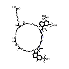 CCC1(C)\C2=C/C=C/C=C/C=C/C3N(CCCCCC(=O)NCC(=O)NCCCCC(C(=O)NCCCCCC(=O)O)NC(=O)CCCCCN2c2ccc4c(S(=O)(=O)O)cc(S(=O)(=O)O)cc4c21)c1ccc2c(C)cc(S(=O)(=O)O)cc2c1C3(C)CC